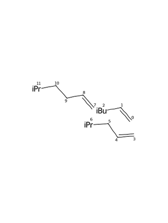 C=CC(C)CC.C=CCC(C)C.C=CCCC(C)C